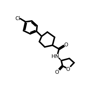 O=C(N[C@H]1CCOC1=O)C1CCC(c2ccc(Cl)cc2)CC1